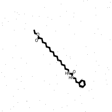 CCOC(=O)CCCCCCCCCCCCCCCNC(=O)NCCc1ccccc1